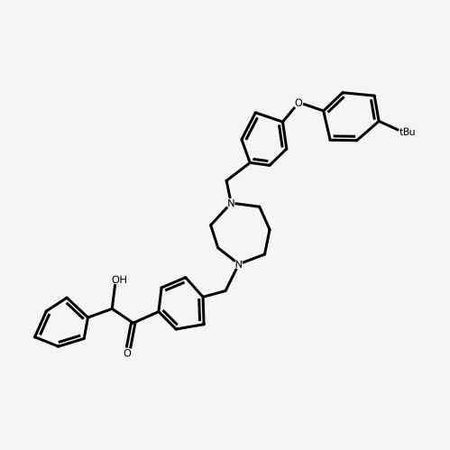 CC(C)(C)c1ccc(Oc2ccc(CN3CCCN(Cc4ccc(C(=O)C(O)c5ccccc5)cc4)CC3)cc2)cc1